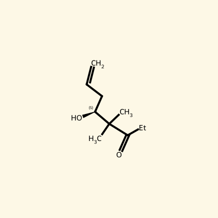 C=CC[C@H](O)C(C)(C)C(=O)CC